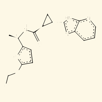 C[C@@H](NC(=O)[C@H]1C[C@@H]1c1nc2cccnc2[nH]1)c1ccc(OCC(F)(F)F)s1